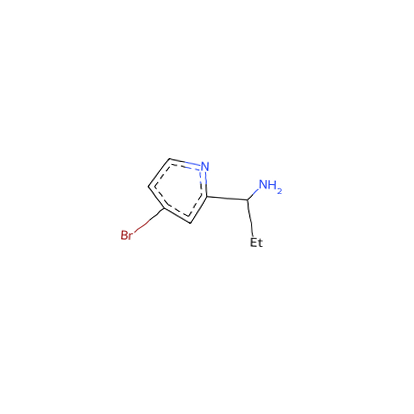 CCC(N)c1cc(Br)ccn1